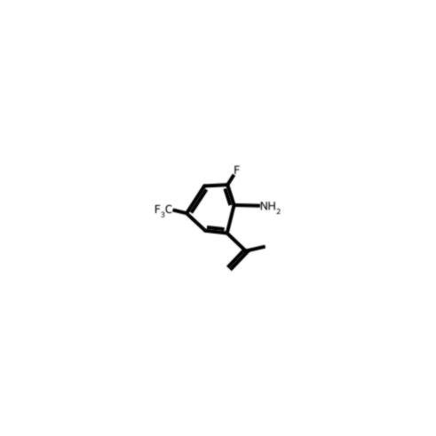 C=C(C)c1cc(C(F)(F)F)cc(F)c1N